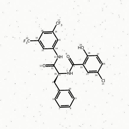 O=C(N[C@@H](Cc1ccccc1)C(=O)Nc1cc(C(F)(F)F)cc(C(F)(F)F)c1)c1cc(Cl)ccc1O